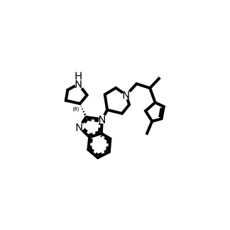 CC1C=CC(C(C)CN2CCC(n3c([C@@H]4CCNC4)nc4ccccc43)CC2)C1